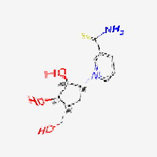 NC(=S)c1ccc[n+]([C@@H]2C[C@H](CO)[C@@H](O)[C@H]2O)c1